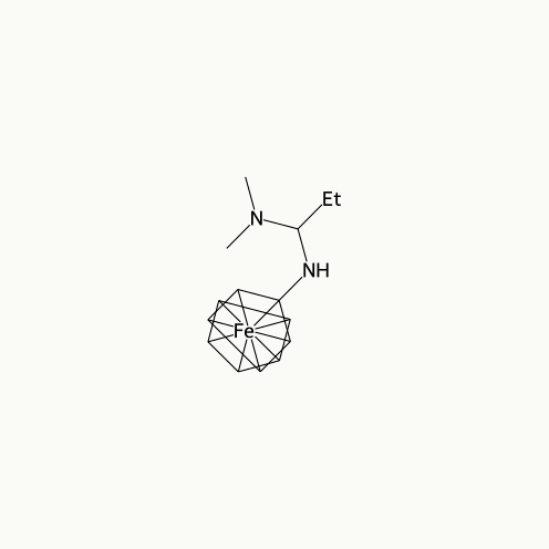 CCC(N[C]12[CH]3[CH]4[CH]5[CH]1[Fe]45321678[CH]2[CH]1[CH]6[CH]7[CH]28)N(C)C